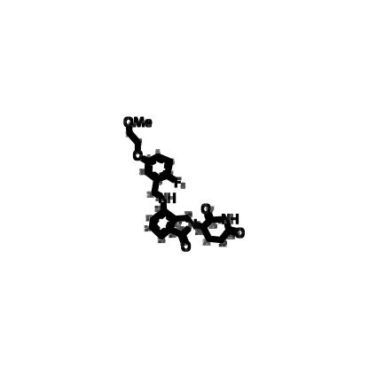 COCCOc1ccc(F)c(CNc2cccc3c2CN(C2CCC(=O)NC2=O)C3=O)c1